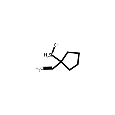 C=CC1([SiH2]C)CCCC1